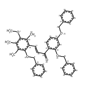 COc1c(C)c(C)c(OCc2ccccc2)c(C=CC(=O)c2ccc(OCc3ccccc3)cc2OCc2ccccc2)c1C